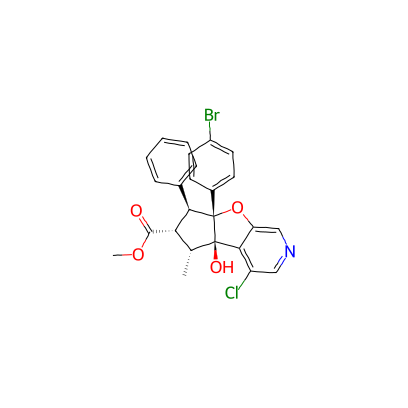 COC(=O)[C@H]1[C@@H](C)[C@@]2(O)c3c(Cl)cncc3O[C@@]2(c2ccc(Br)cc2)[C@@H]1c1ccccc1